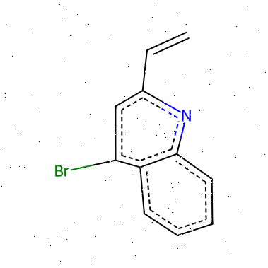 C=Cc1cc(Br)c2ccccc2n1